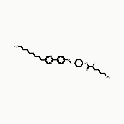 CCCCCCCCCc1cnc(-c2ccc(OC[C@H]3CC[C@H](OC(=O)[C@@H](F)CCCCC)CC3)cc2)nc1